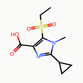 CCS(=O)(=O)c1c(C(=O)O)nc(C2CC2)n1C